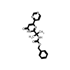 CC(C)(NC(=O)OCc1ccccc1)c1nc(-c2ccncn2)cc(=O)[nH]1